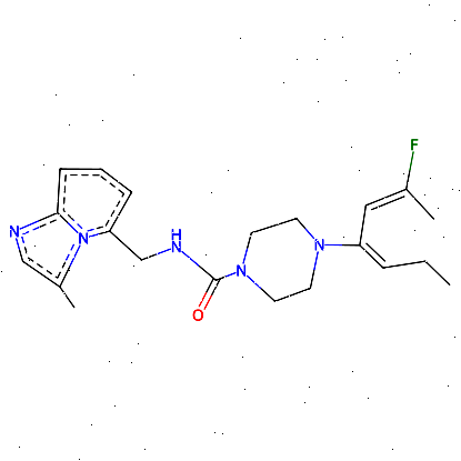 CC/C=C(\C=C(/C)F)N1CCN(C(=O)NCc2cccc3ncc(C)n23)CC1